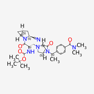 C[C@@H](c1ccc(C(=O)N(C)C)cc1)N1C(=O)[C@@H]2C[C@H]1CN2C[C@H](NC(=O)OC(C)(C)C)C(=O)N1[C@H](C#N)C[C@@H]2C[C@@H]21